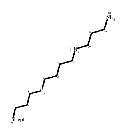 CCCCCCCCCCOCCCCNCCCN